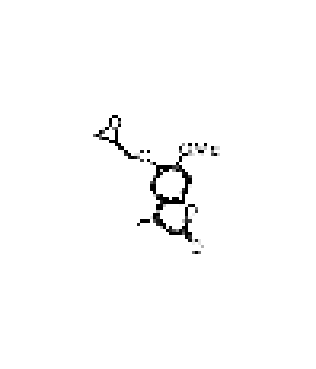 COc1cc2oc(=O)cc(C)c2cc1OCC1CO1